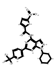 O=C(Nc1nc(-c2ccc(C(F)(F)F)nc2)nc2c1cnn2C1CCCCC1)c1ccc([N+](=O)[O-])s1